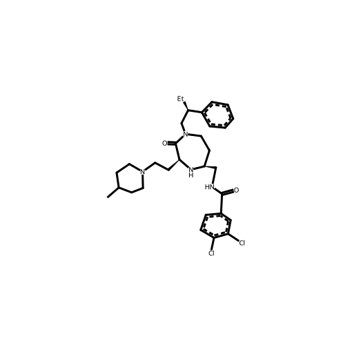 CC[C@H](CN1CC[C@@H](CNC(=O)c2ccc(Cl)c(Cl)c2)N[C@@H](CCN2CCC(C)CC2)C1=O)c1ccccc1